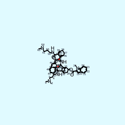 CN(C)CCCNC(=O)C1C2CCC(C(OC(=O)c3cc4ccccc4n3C)C2)C1C(=O)NC(=O)C1C2CCC(CC2OC(=O)c2cc3ccccc3n2C)C1C(=O)NCCCN(C)C